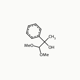 COC(OC)C(C)(O)c1ccccc1